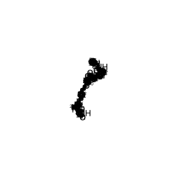 Cc1c(OCCCC2CCN(CCc3ccc4c(C5CCC(=O)NC5=O)nn(C)c4c3)CC2)cccc1-c1ccc(N2CCc3cccc(C(=O)Nc4nc5ccccc5s4)c3C2)nc1C(=O)O